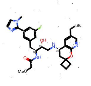 COCC(=O)N[C@@H](Cc1cc(F)cc(-c2nccn2C)c1)[C@H](O)CN[C@H]1CC2(CCC2)Oc2ncc(CC(C)(C)C)cc21